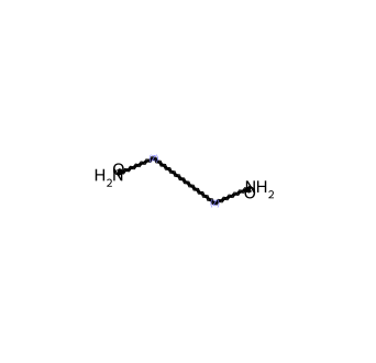 NC(=O)CCCCCCCCCCC/C=C\CCCCCCCCCCCCCCCCCCCCCCCC/C=C\CCCCCCCCCCCC(N)=O